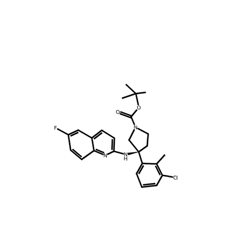 Cc1c(Cl)cccc1[C@@]1(Nc2ccc3cc(F)ccc3n2)CCN(C(=O)OC(C)(C)C)C1